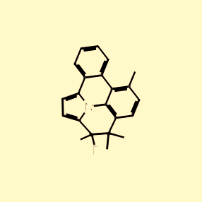 Cc1ccc2c3c1c1ccccc1c1ccc(n13)C(F)(F)C2(C)C